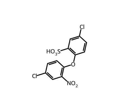 O=[N+]([O-])c1cc(Cl)ccc1Oc1ccc(Cl)cc1S(=O)(=O)O